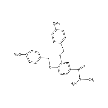 COc1ccc(COc2ccc(C(=O)N(C)N)cc2OCc2ccc(OC)cc2)cc1